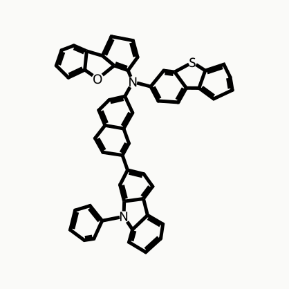 c1ccc(-n2c3ccccc3c3ccc(-c4ccc5ccc(N(c6ccc7c(c6)sc6ccccc67)c6cccc7c6oc6ccccc67)cc5c4)cc32)cc1